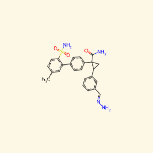 Cc1ccc(S(N)(=O)=O)c(-c2ccc(C3(C(N)=O)CC3c3cccc(C=NN)c3)cc2)c1